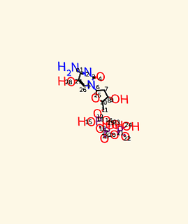 Nc1nc(=O)n(C2CC(O)C(COP(=O)(O)OP(=O)(O)OP(=O)(O)O)O2)cc1O